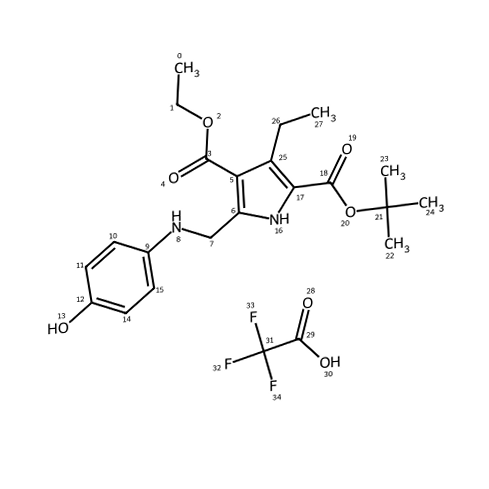 CCOC(=O)c1c(CNc2ccc(O)cc2)[nH]c(C(=O)OC(C)(C)C)c1CC.O=C(O)C(F)(F)F